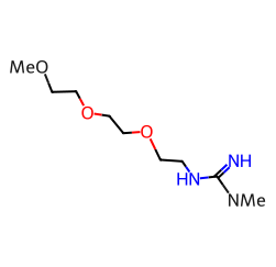 CNC(=N)NCCOCCOCCOC